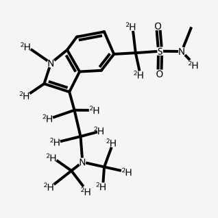 [2H]c1c(C([2H])([2H])C([2H])([2H])N(C([2H])([2H])[2H])C([2H])([2H])[2H])c2cc(C([2H])([2H])S(=O)(=O)N([2H])C)ccc2n1[2H]